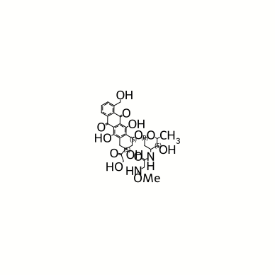 CONCC(=O)NC1C[C@H](O[C@H]2C[C@](O)(C(=O)CO)Cc3c(O)c4c(c(O)c32)C(=O)c2c(CO)cccc2C4=O)OC(C)[C@H]1O